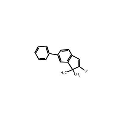 CC1(C)C(Br)=Cc2ccc(-c3ccccc3)cc21